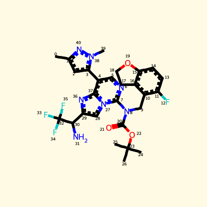 Cc1cc(-c2cnc(N(Cc3c(F)ccc4c3CCO4)C(=O)OC(C)(C)C)n3cc(C(N)C(F)(F)F)nc23)n(C)n1